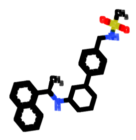 C[C@@H](NC1CCCC(c2ccc(CNS(C)(=O)=O)cc2)C1)c1cccc2ccccc12